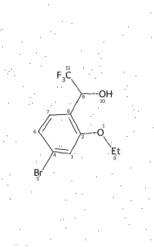 CCOc1cc(Br)ccc1C(O)C(F)(F)F